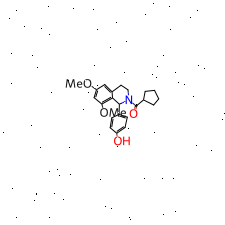 COc1cc2c(c(OC)c1)C(c1ccc(O)cc1)N(C(=O)C1CCCC1)CC2